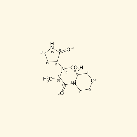 C[C@@H](C(=O)N1CCOCC1)N(C(=O)O)C1CCNC1=O